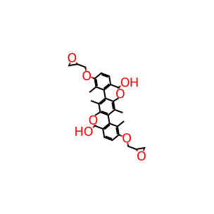 Cc1c(OCC2CO2)ccc(C(=O)O)c1-c1c(C)c(C)c(-c2c(C(=O)O)ccc(OCC3CO3)c2C)c(C)c1C